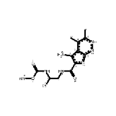 CCCOC(=O)NC(CC)CNC(=O)c1sc2nnc(C)c(C)c2c1N